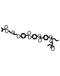 C=C(C)C(=O)OCCOCCOc1ccc(C(=O)Oc2ccc(OC(=O)c3ccc(OC(CCC)OCC4(CC)COC4)cc3)cc2)cc1